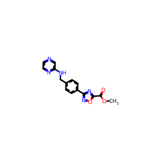 COC(=O)c1nc(-c2ccc(CNc3cnccn3)cc2)no1